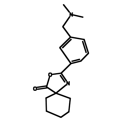 CN(C)Cc1cccc(C2=NC3(CCCCC3)C(=O)O2)c1